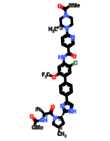 CNC(=O)N1CCN(c2ccc(C(=O)Nc3cc(OC(F)(F)F)c(-c4ccc(-c5c[nH]c([C@@H]6C[C@H](C)CN6C(=O)[C@@H](NC(=O)OC)C(C)C)n5)cc4)cc3Cl)cn2)[C@H](C)C1